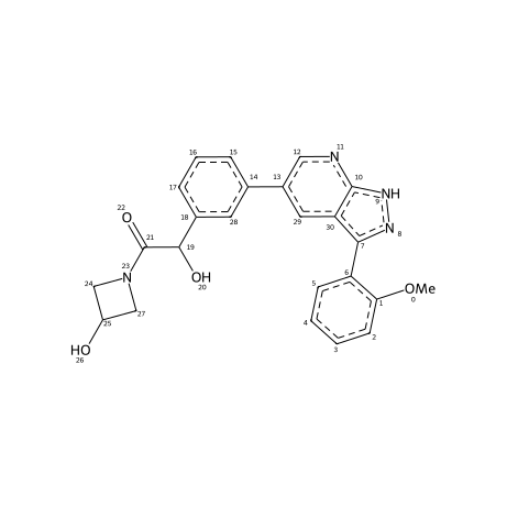 COc1ccccc1-c1n[nH]c2ncc(-c3cccc(C(O)C(=O)N4CC(O)C4)c3)cc12